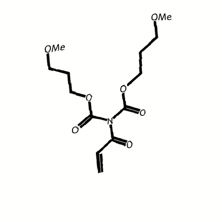 C=CC(=O)N(C(=O)OCCCOC)C(=O)OCCCOC